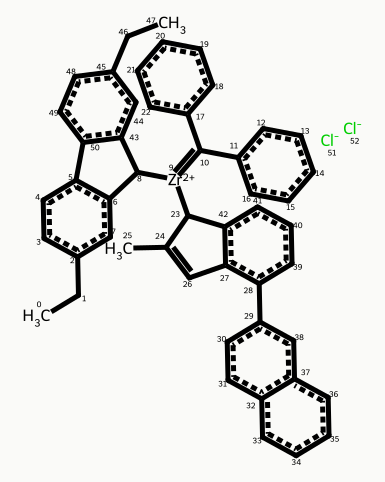 CCc1ccc2c(c1)[CH]([Zr+2](=[C](c1ccccc1)c1ccccc1)[CH]1C(C)=Cc3c(-c4ccc5ccccc5c4)cccc31)c1cc(CC)ccc1-2.[Cl-].[Cl-]